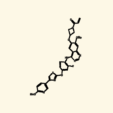 C=CC(=O)N1CC(Oc2cc3c(Nc4ccc(Oc5nc(-c6ccc(OC)nc6)cs5)cc4F)ncnc3cc2OC)C1